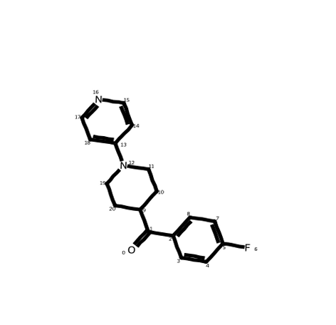 O=C(c1ccc(F)cc1)C1CCN(c2ccncc2)CC1